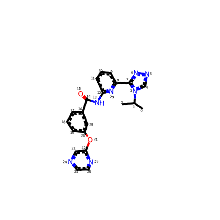 CC(C)n1cnnc1-c1cccc(NC(=O)c2cccc(Oc3cnccn3)c2)n1